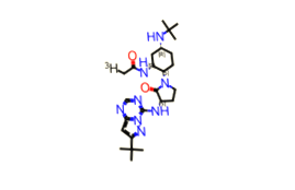 [3H]CC(=O)N[C@@H]1C[C@H](NC(C)(C)C)CC[C@@H]1N1CC[C@H](Nc2ncnc3cc(C(C)(C)C)nn23)C1=O